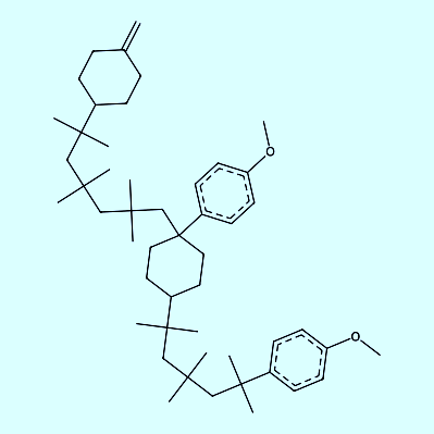 C=C1CCC(C(C)(C)CC(C)(C)CC(C)(C)CC2(c3ccc(OC)cc3)CCC(C(C)(C)CC(C)(C)CC(C)(C)c3ccc(OC)cc3)CC2)CC1